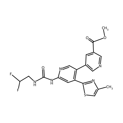 COC(=O)c1cncc(-c2cnc(NC(=O)NCC(F)F)cc2-c2nc(C)cs2)c1